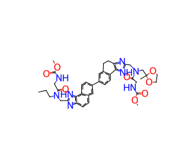 CCCN(Cc1nc2ccc3cc(-c4ccc5c(c4)CCc4nc(CN(CC6(C)OCCO6)C(=O)CNC(=O)OC)[nH]c4-5)ccc3c2[nH]1)C(=O)CNC(=O)OC